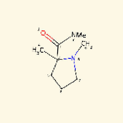 CNC(=O)C1(C)CCCN1C